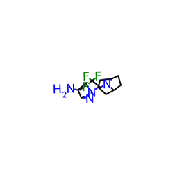 Nc1cnn(C2CC3CCC(C2)N3CC(F)(F)F)c1